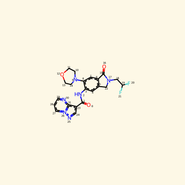 O=C(Nc1cc2c(cc1N1CCOCC1)C(=O)N(CC(F)F)C2)c1cnn2cccnc12